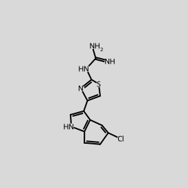 N=C(N)Nc1nc(-c2c[nH]c3ccc(Cl)cc23)cs1